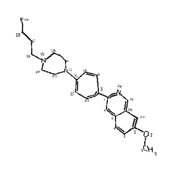 COc1ccc2cc(-c3ccc(N4CCN(CCCF)CC4)cc3)ncc2c1